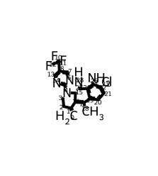 C=C1CCN(c2ncc(C(F)(F)F)cn2)C/C1=C(/C)c1ccc(Cl)c(N)c1C=N